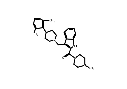 Cc1cccc(C)c1C1CCN(Cc2c(C(=O)N3CCN(C)CC3)[nH]c3ccccc23)CC1